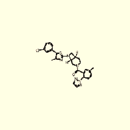 Cc1ccc(-n2nccn2)c(C(=O)N2CC[C@H]3CN(c4nc(C)c(-c5cccc(Cl)c5)s4)[C@H]3C2)c1